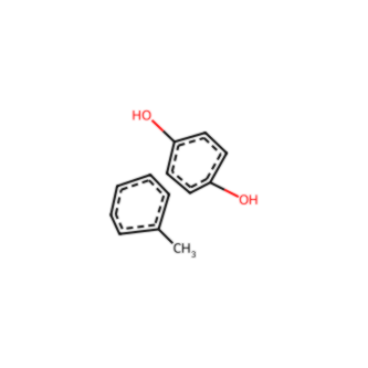 Cc1ccccc1.Oc1ccc(O)cc1